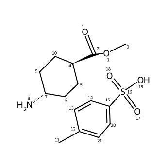 COC(=O)[C@H]1CC[C@H](N)CC1.Cc1ccc(S(=O)(=O)O)cc1